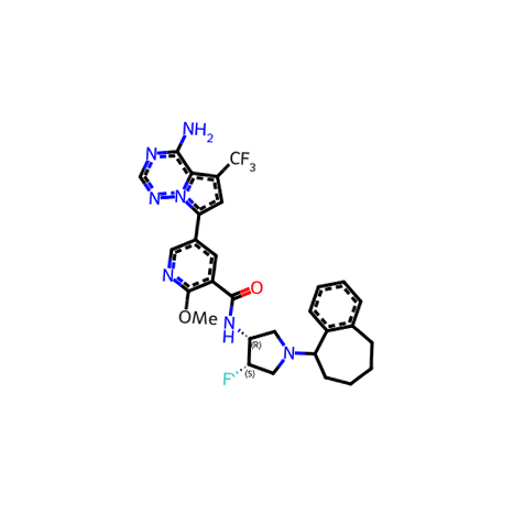 COc1ncc(-c2cc(C(F)(F)F)c3c(N)ncnn23)cc1C(=O)N[C@@H]1CN(C2CCCCc3ccccc32)C[C@@H]1F